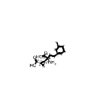 Cc1cccc(CC[C@@](N)(C(=O)O)[C@H]2C[C@@H]2C(=O)O)c1